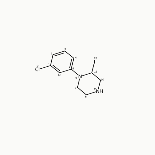 Clc1cccc(N2CCNCC2I)c1